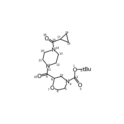 CC(C)(C)OC(=O)N1CCOC(C(=O)N2CCN(C(=O)C3CC3)CC2)C1